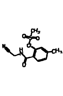 Cc1ccc(C(=O)NCC#N)c(OS(C)(=O)=O)c1